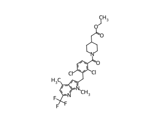 CCOC(=O)CC1CCN(C(=O)c2ccc(Cl)c(Cc3cc4c(C)cc(C(F)(F)F)nc4n3C)c2Cl)CC1